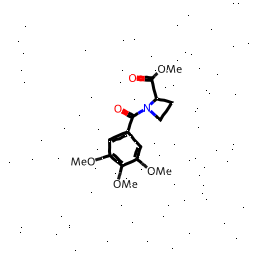 COC(=O)C1CCN1C(=O)c1cc(OC)c(OC)c(OC)c1